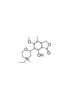 [CH2]C[N+]1(C)CCOC(c2c(O)c3c(c(C)c2OC)COC3=O)C1